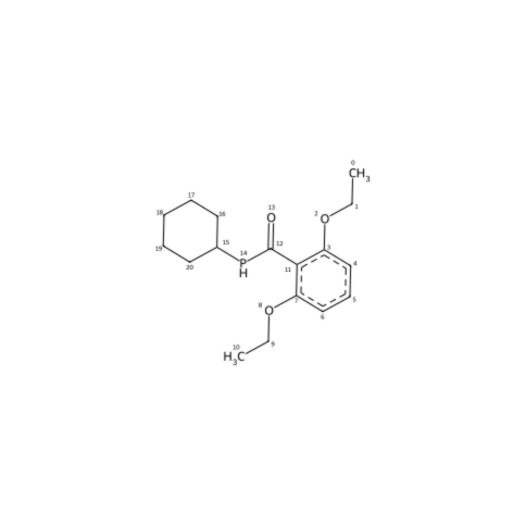 CCOc1cccc(OCC)c1C(=O)PC1CCCCC1